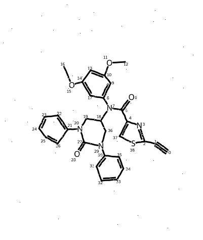 C#Cc1nc(C(=O)N(c2cc(OC)cc(OC)c2)C2CN(c3ccccc3)C(=O)N(c3ccccc3)C2)cs1